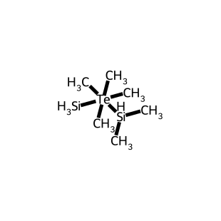 C[SiH](C)[Te](C)(C)(C)(C)[SiH3]